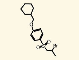 CC(Br)CS(=O)(=O)c1ccc(OCC2CCCCC2)cc1